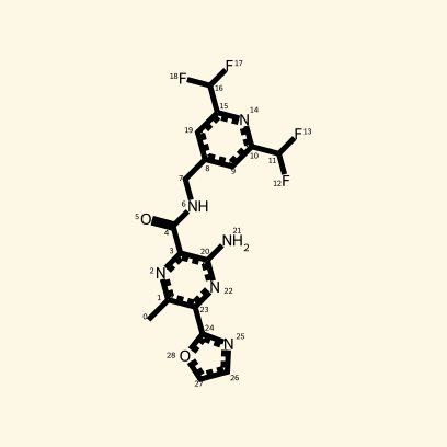 Cc1nc(C(=O)NCc2cc(C(F)F)nc(C(F)F)c2)c(N)nc1-c1ncco1